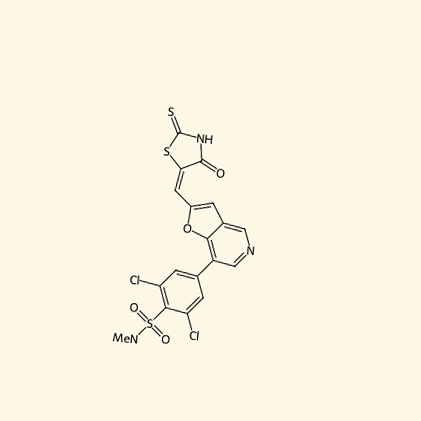 CNS(=O)(=O)c1c(Cl)cc(-c2cncc3cc(C=C4SC(=S)NC4=O)oc23)cc1Cl